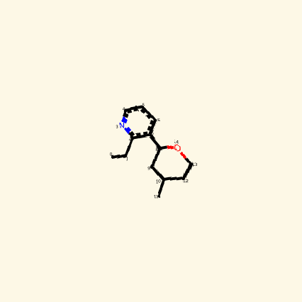 CCc1ncccc1C1CC(C)CCO1